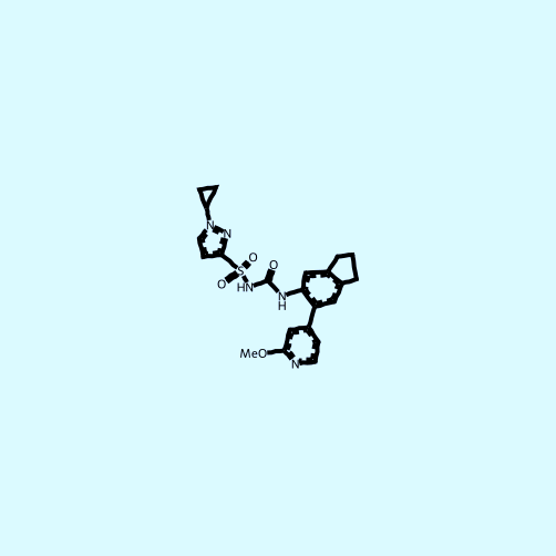 COc1cc(-c2cc3c(cc2NC(=O)NS(=O)(=O)c2ccn(C4CC4)n2)CCC3)ccn1